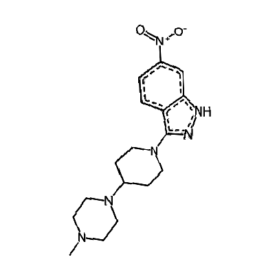 CN1CCN(C2CCN(c3n[nH]c4cc([N+](=O)[O-])ccc34)CC2)CC1